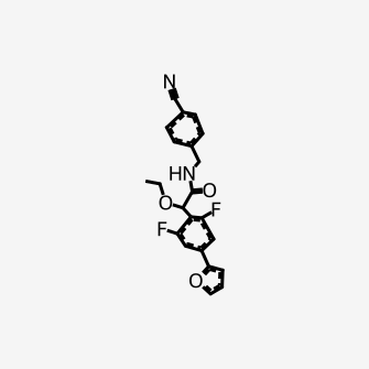 CCOC(C(=O)NCc1ccc(C#N)cc1)c1c(F)cc(-c2ccco2)cc1F